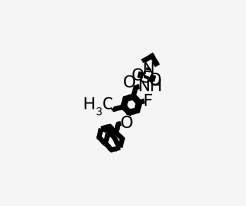 CCc1cc(C(=O)NS(=O)(=O)N2CCC2)c(F)cc1OCC12CC3CC(CC(C3)C1)C2